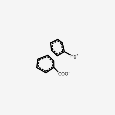 O=C([O-])c1ccccc1.[Hg+][c]1ccccc1